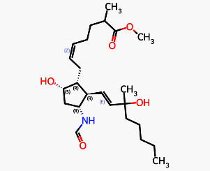 CCCCCC(C)(O)/C=C/[C@@H]1[C@@H](C/C=C\CCC(C)C(=O)OC)[C@@H](O)C[C@H]1NC=O